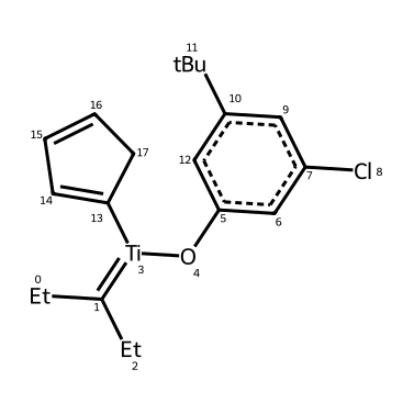 CC[C](CC)=[Ti]([O]c1cc(Cl)cc(C(C)(C)C)c1)[C]1=CC=CC1